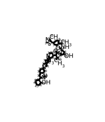 Cc1ncsc1-c1ccc([C@H](C)NC(=O)[C@@H]2C[C@@H](O)CN2C(=O)C(c2ccnc(N3CC4(CN(c5ccc6cc(-c7ccccc7O)nnc6c5)C4)C3)c2)C(C)C)cc1